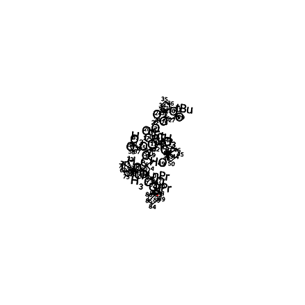 CCCC(C)(CCC(C)(CCCC(C)(CC(C)(CC(C)(CC)C(=O)OCC(=O)OC(CC(=O)OC(C)(C)C)C1CC2C=CC1C2)C(=O)OC12CC3CC(CC(O)(C3)C1)C2)C(=O)OC1CCOC1=O)C(=O)OC1(C)C2CC3CC(C2)CC1C3)C(=O)OC1(C(C)C)C2CC3CC(C2)CC1C3